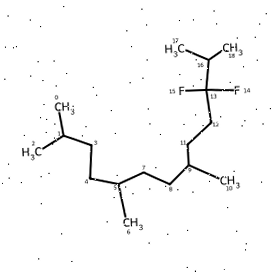 CC(C)CCC(C)CCC(C)CCC(F)(F)C(C)C